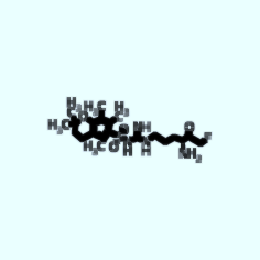 Cc1c(C)c(S(=O)(=O)NC(=N)NCCC[C@H](N)C(=O)CF)c(C)c2c1OC(C)(C)CC2